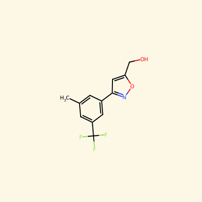 Cc1cc(-c2cc(CO)on2)cc(C(F)(F)F)c1